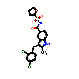 Cc1[nH]c2ccc(C(=O)NS(=O)(=O)c3cccs3)cc2c1Cc1ccc(Cl)cc1Cl